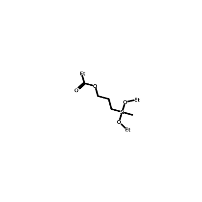 CCO[Si](C)(CCCOC(=O)CC)OCC